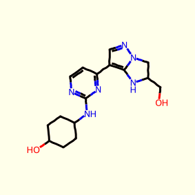 OCC1Cn2ncc(-c3ccnc(NC4CCC(O)CC4)n3)c2N1